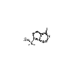 Cc1ncnc2c1ccn2S(C)(C)C(C)(C)C